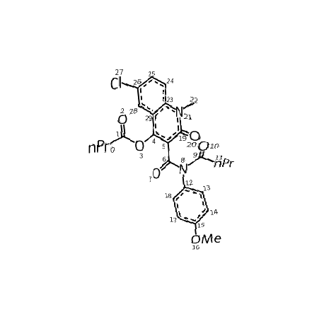 CCCC(=O)Oc1c(C(=O)N(C(=O)CCC)c2ccc(OC)cc2)c(=O)n(C)c2ccc(Cl)cc12